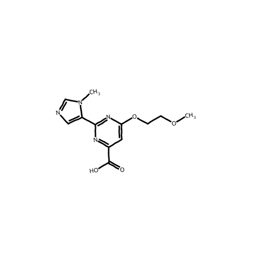 COCCOc1cc(C(=O)O)nc(-c2cncn2C)n1